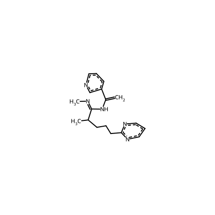 C=C(N/C(=N/C)C(C)CCCc1ncccn1)c1cccnc1